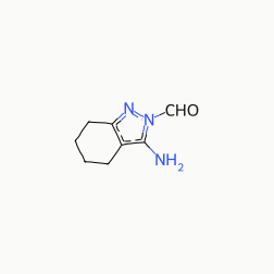 Nc1c2c(nn1C=O)CCCC2